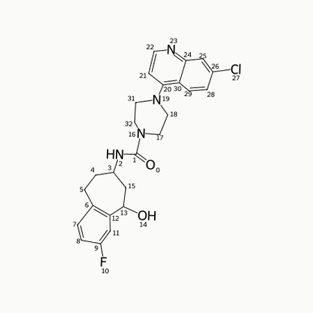 O=C(NC1CCc2ccc(F)cc2C(O)C1)N1CCN(c2ccnc3cc(Cl)ccc23)CC1